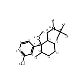 COC1(c2ccnc(Cl)c2)C(C)CCCC1CN(C)C(C)(C)C